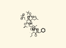 C=CC[C@H](NC(=O)[C@H](CCS(C)(=O)=O)NC(=O)[C@H](CC(C)C)NC(=O)OC(C)(C)C)[C@@H](O)C[C@@H](C)C(=O)N[C@H](C(=O)NCc1ccccc1)[C@@H](C)CC